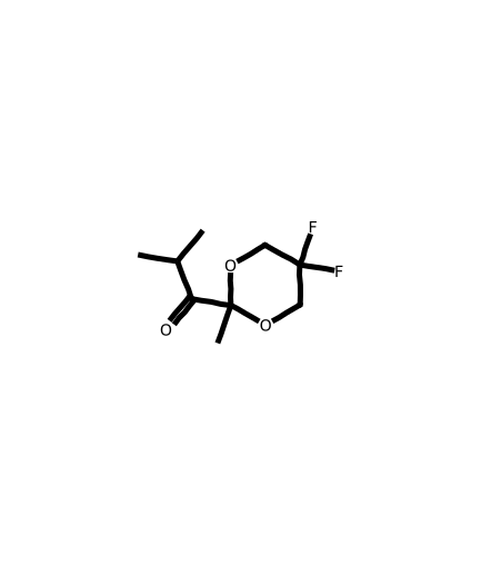 CC(C)C(=O)C1(C)OCC(F)(F)CO1